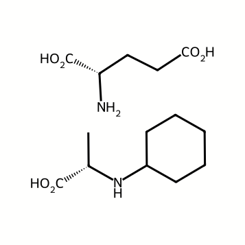 C[C@H](NC1CCCCC1)C(=O)O.N[C@@H](CCC(=O)O)C(=O)O